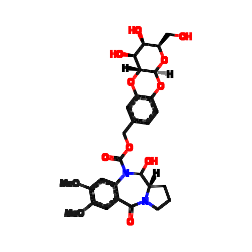 COc1cc2c(cc1OC)N(C(=O)OCc1ccc3c(c1)O[C@H]1[C@H](O3)O[C@H](CO)[C@H](O)[C@@H]1O)C(O)[C@@H]1CCCN1C2=O